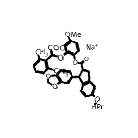 CCCOc1ccc2c(c1)CC(C(=O)Oc1ccc(OC)cc1OC(C(=O)[O-])c1c(C)cccc1C)C2c1ccc2c(c1)OCO2.[Na+]